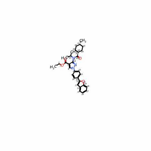 CCOC(=O)c1cn(-c2ccc(-c3cc4ccccc4o3)cc2)nc1N(C(=O)[C@H]1CC[C@H](C)CC1)C(C)C